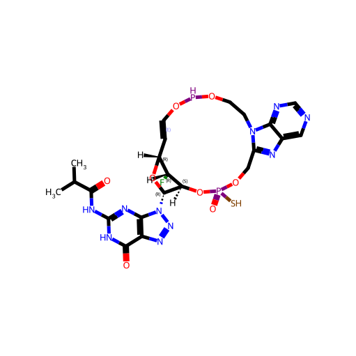 CC(C)C(=O)Nc1nc2c(nnn2[C@@H]2O[C@@H]3/C=C/OPOCCn4c(nc5cncnc54)COP(=O)(S)O[C@@H]2[C@@H]3F)c(=O)[nH]1